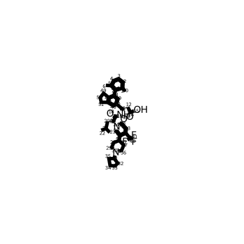 Cc1cccc(C)c1-c1cc([C@H](CC(=O)O)NC(=O)[C@@H](CC(C)C)n2cc(C3CCN(C4CCCC4)CC3)c(C(F)(F)F)cc2=O)cc2c1CCC2